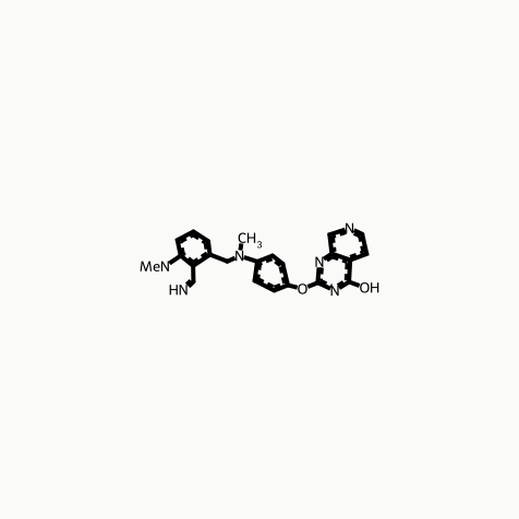 CNc1cccc(CN(C)c2ccc(Oc3nc(O)c4ccncc4n3)cc2)c1C=N